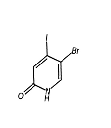 O=c1cc(I)c(Br)c[nH]1